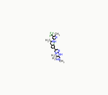 C=C(Cc1ccc(-c2cnc(N/C(=C/NC)C(=C)C)nc2)cc1F)Nc1cnc(C)c(C(F)(F)F)c1